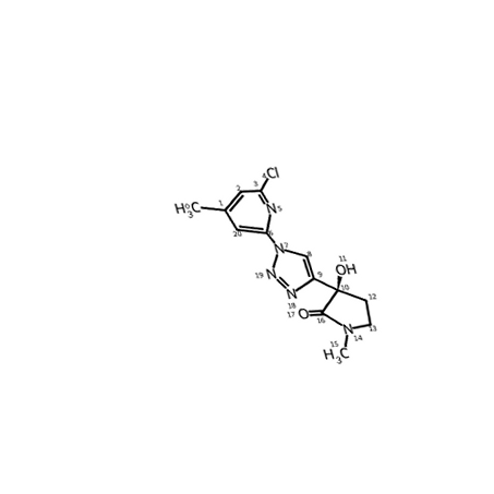 Cc1cc(Cl)nc(-n2cc([C@]3(O)CCN(C)C3=O)nn2)c1